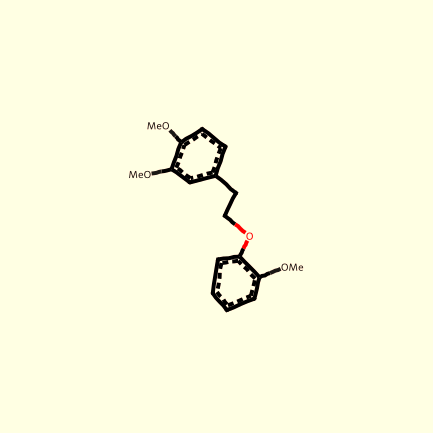 COc1ccc(CCOc2ccccc2OC)cc1OC